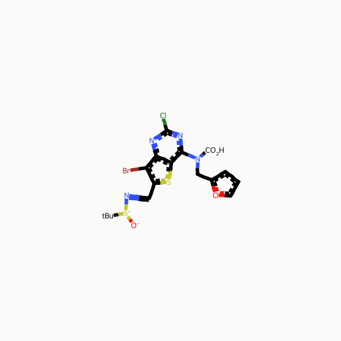 CC(C)(C)[S+]([O-])N=Cc1sc2c(N(Cc3ccco3)C(=O)O)nc(Cl)nc2c1Br